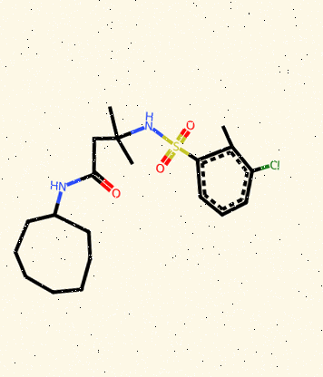 Cc1c(Cl)cccc1S(=O)(=O)NC(C)(C)CC(=O)NC1CCCCCCC1